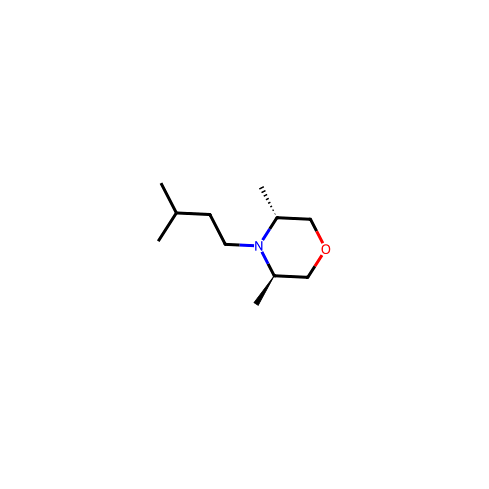 CC(C)CCN1[C@H](C)COC[C@H]1C